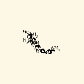 CC(N)C1CCN(Cc2ccc(-n3ccc(NC(=O)N4CCN(C(=O)[C@@](C)(N)CO)[C@H](N)C4)nc3=O)cc2)CC1